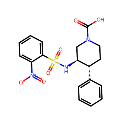 O=C(O)N1CC[C@H](c2ccccc2)[C@@H](NS(=O)(=O)c2ccccc2[N+](=O)[O-])C1